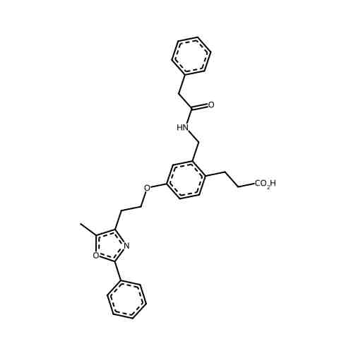 Cc1oc(-c2ccccc2)nc1CCOc1ccc(CCC(=O)O)c(CNC(=O)Cc2ccccc2)c1